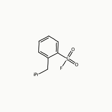 CC(C)Cc1ccccc1S(=O)(=O)F